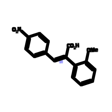 COc1ccccc1/C(=C/c1ccc([N+](=O)[O-])cc1)C(=O)O